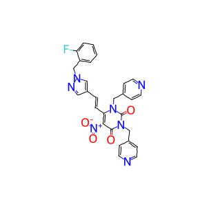 O=c1c([N+](=O)[O-])c(C=Cc2cnn(Cc3ccccc3F)c2)n(Cc2ccncc2)c(=O)n1Cc1ccncc1